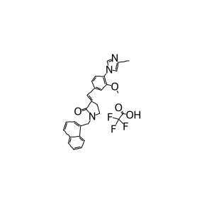 COc1cc(C=C2CCN(Cc3cccc4ccccc34)C2=O)ccc1-n1cnc(C)c1.O=C(O)C(F)(F)F